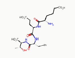 CC(C)C[C@@H](NC(=O)[C@@H](CCC(=O)O)NC(=O)[C@@H](N)CCCC(=O)O)C(=O)N[C@H](C(=O)O)[C@@H](C)O